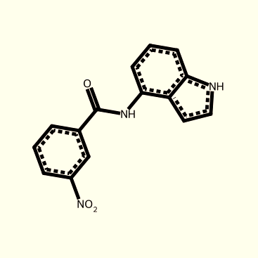 O=C(Nc1cccc2[nH]ccc12)c1cccc([N+](=O)[O-])c1